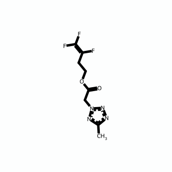 Cc1nnn(CC(=O)OCCC(F)=C(F)F)n1